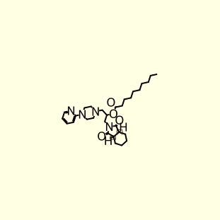 CCCCCCCCCC(=O)OC(CN1CCN(c2ccccn2)CC1)CN1C(=O)[C@H]2CCCC[C@H]2C1=O